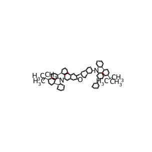 CC(C)(C)c1ccc(-c2ccccc2N(c2cccc(-c3ccccc3)c2)c2ccc3cc4c(cc3c2)oc2cc3cc(N(c5ccccc5-c5ccccc5)c5ccccc5-c5ccc(C(C)(C)C)cc5)ccc3cc24)cc1